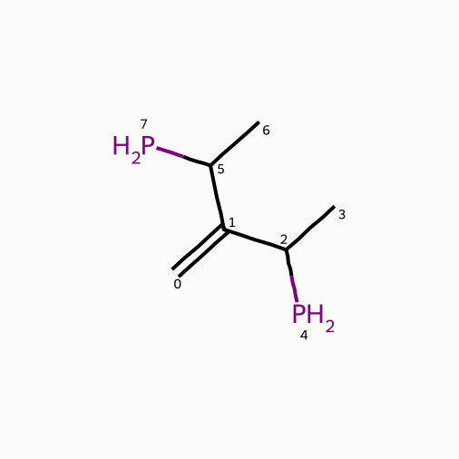 C=C(C(C)P)C(C)P